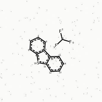 FC(F)F.c1ccc2c(c1)sc1ccccc12